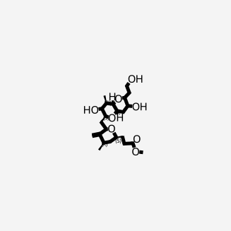 C=C1C(C[C@@H]2O[C@H]3CC(O)C(CCO)O[C@H]3[C@H](C)C2O)O[C@@H](CCC(=O)OC)C[C@H]1C